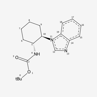 CC(C)(C)OC(=O)N[C@@H]1CCCC[C@H]1n1cnc2ccccc21